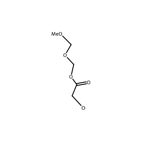 COCOCOC(=O)C[O]